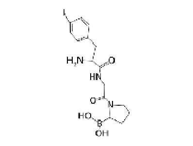 NC(Cc1ccc(I)cc1)C(=O)NCC(=O)N1CCCC1B(O)O